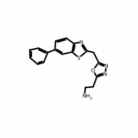 NCCc1nnc(Cc2nc3ccc(-c4ccccc4)cc3s2)o1